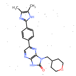 Cc1nc(-c2ccc(-c3cnc4[nH]c(=O)n(CC5CCOCC5)c4n3)cc2)[nH]c1C